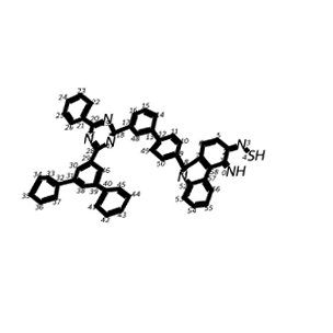 N=C1/C(=N\S)C=Cc2c(-c3ccc(-c4cccc(-c5nc(-c6ccccc6)nc(-c6cc(-c7ccccc7)cc(-c7ccccc7)c6)n5)c4)cc3)nc3ccccc3c21